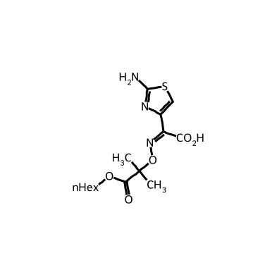 CCCCCCOC(=O)C(C)(C)O/N=C(\C(=O)O)c1csc(N)n1